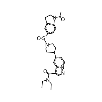 CCN(CC)C(=O)c1cnn2ccc(C3CCN([S+]([O-])c4ccc5c(c4)CCN5C(C)=O)CC3)cc12